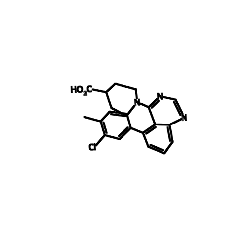 Cc1ccc(-c2cccc3ncnc(N4CCC(C(=O)O)CC4)c23)cc1Cl